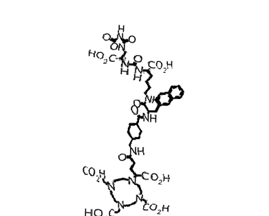 O=C(O)CN1CCN(CC(=O)O)CCN(C(CCC(=O)NCC2CCC(C(=O)NC(Cc3ccc4ccccc4c3)C(=O)NCCCC[C@H](NC(=O)N[C@@H](Cn3oc(=O)[nH]c3=O)C(=O)O)C(=O)O)CC2)C(=O)O)CCN(CC(=O)O)CC1